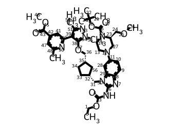 CCOC(=O)Nc1nc2ccc(N3CCN(C(=O)OC(C)(C)C)[C@@H](COC)C3)cc2n1C[C@@H]1CC[C@H](COc2c(-c3cc(C(=O)OC)cc(C)n3)c(C)nn2C)C1